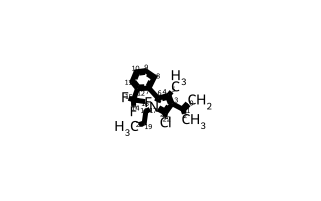 C=C(C)c1c(C)c(-c2ccccc2C(F)(F)F)n(CCC)c1Cl